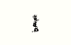 FC1(F)Oc2ccc(Nc3cc4cc(OC5CCNCC5)ccc4cn3)cc2OC1(F)F